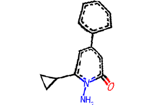 Nn1c(C2CC2)cc(-c2ccccc2)cc1=O